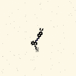 CCN(CC)c1ccc2cc(/C=C/C=C/c3cc[n+](CCC[N+](C)(C)C)c4ccccc34)ccc2c1